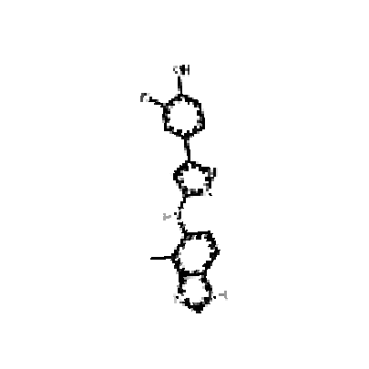 Cc1c(Nc2cc(-c3ccc(O)c(F)c3)[nH]n2)ccc2[nH]cnc12